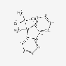 CCC(C)(C)C1(C)c2ccccc2-c2ccccc21